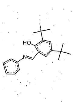 CC(C)(C)c1cc(C=Nc2ccccc2)c(O)c(C(C)(C)C)c1